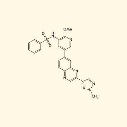 COc1ncc(-c2ccc3ncc(-c4cnn(C)c4)nc3c2)cc1NS(=O)(=O)c1ccccc1